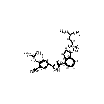 CC(C)Oc1ccc(-c2nc(-c3cccc4c3CC[C@H]4NS(=O)(=O)CCN(C)C)no2)cc1C#N